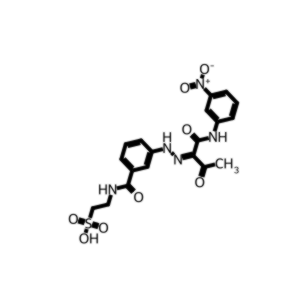 CC(=O)/C(=N/Nc1cccc(C(=O)NCCS(=O)(=O)O)c1)C(=O)Nc1cccc([N+](=O)[O-])c1